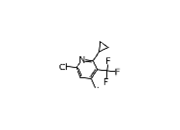 [CH2]c1cc(Cl)nc(C2CC2)c1C(F)(F)F